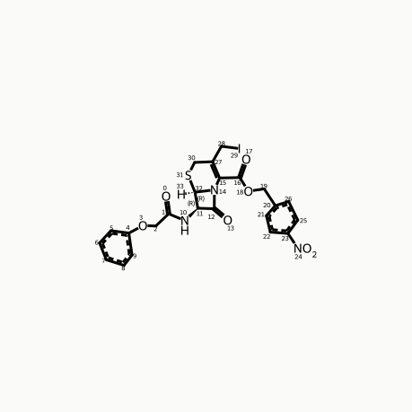 O=C(COc1ccccc1)N[C@@H]1C(=O)N2C(C(=O)OCc3ccc([N+](=O)[O-])cc3)=C(CI)CS[C@H]12